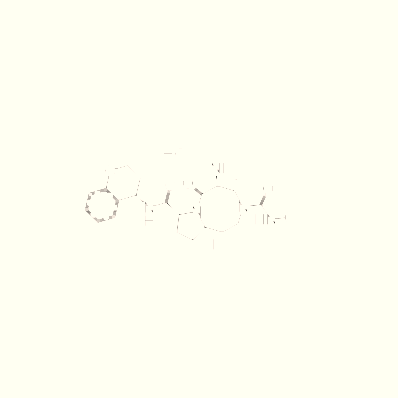 CNC(=O)N1CC[C@H]2CC[C@@H](C(=O)N[C@@H]3CCOc4ccccc43)N2C(=O)[C@@H](N)C1.Cl